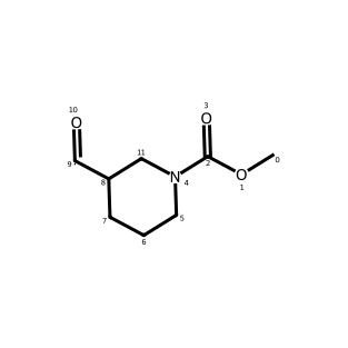 COC(=O)N1CCCC([C]=O)C1